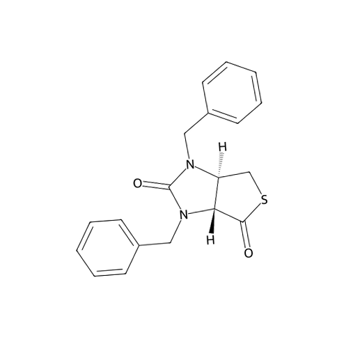 O=C1SC[C@H]2[C@H]1N(Cc1ccccc1)C(=O)N2Cc1ccccc1